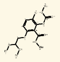 CCOC(CSc1ccc(Br)c(OC(=O)OC(C)(C)C)c1C(=O)OC(C)(C)C)OCC